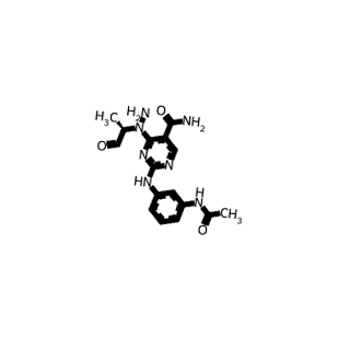 CC(=O)Nc1cccc(Nc2ncc(C(N)=O)c(N(N)[C@H](C)C=O)n2)c1